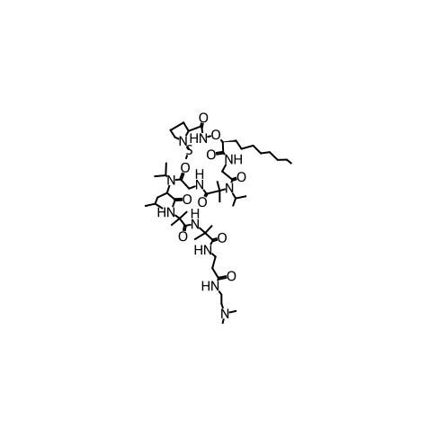 CCCCCCCC[C@H](ONC(=O)C1CCCN1SC)C(=O)NCC(=O)N(C(C)C)C(C)(C)C(=O)NCC(=O)N(C(C)C)C(CC(C)C)C(=O)NC(C)(C)C(=O)NC(C)(C)C(=O)NCCC(=O)NCCN(C)C